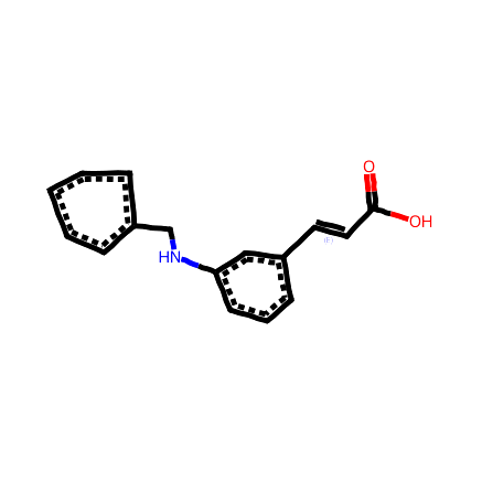 O=C(O)/C=C/c1cccc(NCc2ccccc2)c1